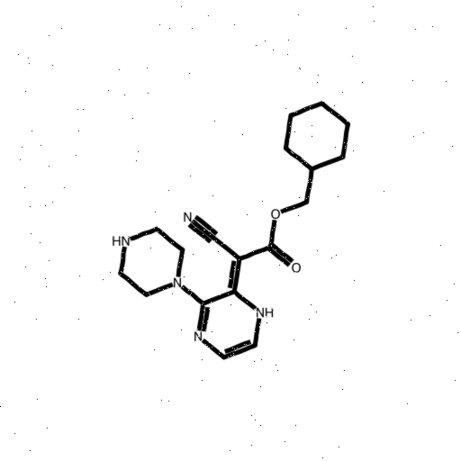 N#CC(C(=O)OCC1CCCCC1)=C1NC=CN=C1N1CCNCC1